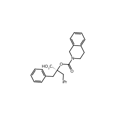 CC(C)C[C@@](Cc1ccccc1)(OC(=O)N1CCc2ccccc2C1)C(=O)O